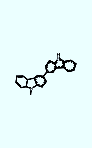 CN1c2ccc(-c3ccc4[nH]c5ccccc5c4c3)cc2C2C=CC=CC21